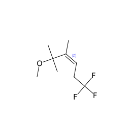 COC(C)(C)/C(C)=C\CC(F)(F)F